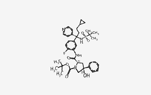 CC(C)(C)OC(=O)N1C[C@@](O)(c2ccccc2)C[C@@H]1C(=O)Nc1cc(C(CCC2CC2)(NS(=O)(=O)C(C)(C)C)c2ccncc2)ccc1F